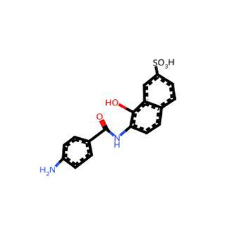 Nc1ccc(C(=O)Nc2ccc3ccc(S(=O)(=O)O)cc3c2O)cc1